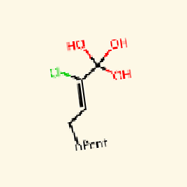 CCCCCCC=C(Cl)C(O)(O)O